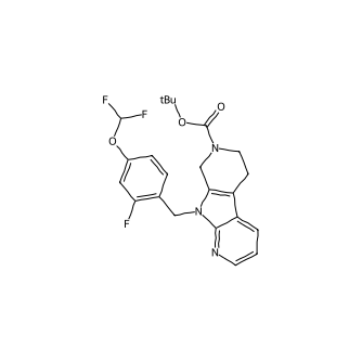 CC(C)(C)OC(=O)N1CCc2c(n(Cc3ccc(OC(F)F)cc3F)c3ncccc23)C1